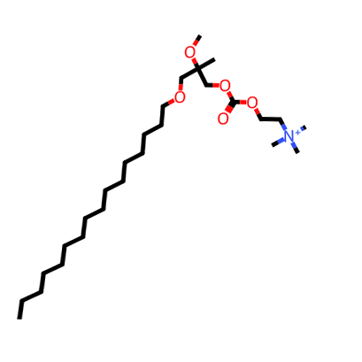 CCCCCCCCCCCCCCCCOCC(C)(COC(=O)OCC[N+](C)(C)C)OC